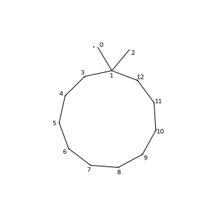 [CH2]C1(C)CCCCCCCCCC1